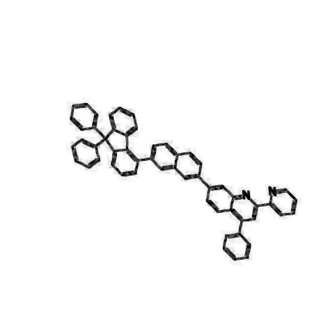 c1ccc(-c2cc(-c3ccccn3)nc3cc(-c4ccc5ccc(-c6cccc7c6-c6ccccc6C7(c6ccccc6)c6ccccc6)cc5c4)ccc23)cc1